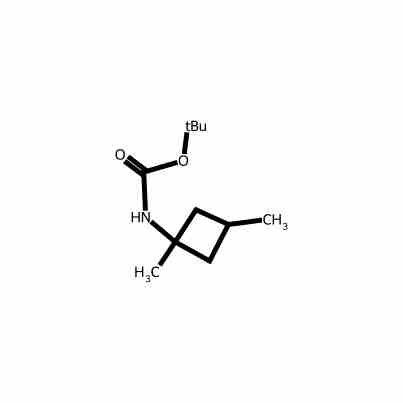 CC1CC(C)(NC(=O)OC(C)(C)C)C1